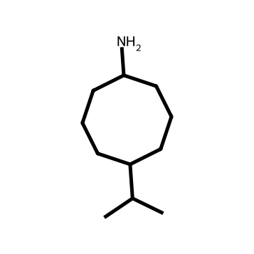 CC(C)C1CCCC(N)CCC1